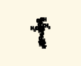 Cc1cc(SCCOc2ccc(Br)cc2)cc(C)c1OCC(=O)O